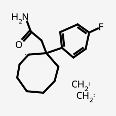 NC(=O)CC1(c2ccc(F)cc2)[CH]CCCCCC1.[CH2].[CH2]